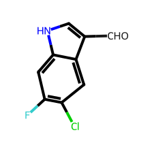 O=Cc1c[nH]c2cc(F)c(Cl)cc12